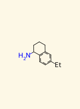 CCc1ccc2c(c1)CCCC2N